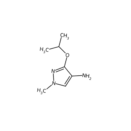 CC(C)Oc1nn(C)cc1N